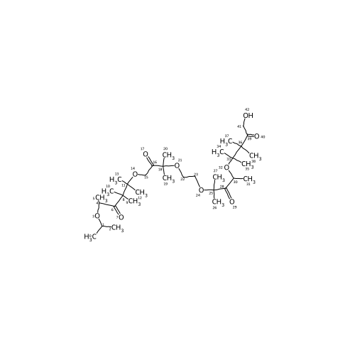 CC(C)OC(C)C(=O)C(C)(C)C(C)(C)OCC(=O)C(C)(C)OCCOC(C)(C)C(=O)C(C)OC(C)(C)C(C)(C)C(=O)CO